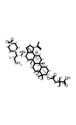 C=C(C)[C@@H]1CC[C@]2(NC[C@H]([C@@H](C)N)N3CCS(=O)(=O)CC3)CC[C@]3(C)[C@H](CC[C@@H]4[C@@]5(C)CC[C@H](OC(=O)CC(C)(C)C(=O)O)C(C)(C)[C@@H]5CC[C@]43C)[C@@H]12